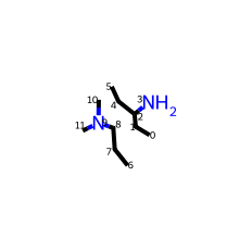 CCC(N)CC.CCCN(C)C